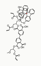 C=CC(=O)OCC(COC)OC(=O)c1ccc(-c2ccc(C(=O)O)c(C(=O)OC(COC(=O)C=C)COc3ccc4c(c3)C3(c5ccccc5-4)c4ccccc4-c4ccc(OCC(COC(=O)C=C)OC(=O)C5CC=CCC5C(=O)O)cc43)c2)cc1C(=O)O